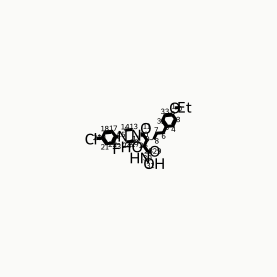 CCOc1ccc(CCC[C@@H](C(=O)N2CCN(c3ccc(Cl)cc3F)CC2)[C@H](O)C(=O)NO)cc1